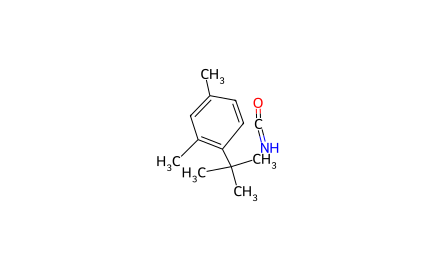 Cc1ccc(C(C)(C)C)c(C)c1.N=C=O